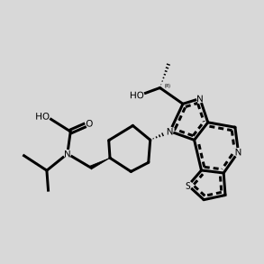 CC(C)N(C[C@H]1CC[C@H](n2c([C@@H](C)O)nc3cnc4ccsc4c32)CC1)C(=O)O